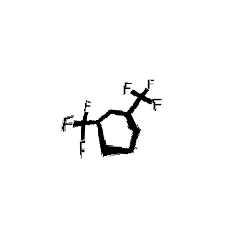 FC(F)(F)C1C[CH]CC(C(F)(F)F)C1